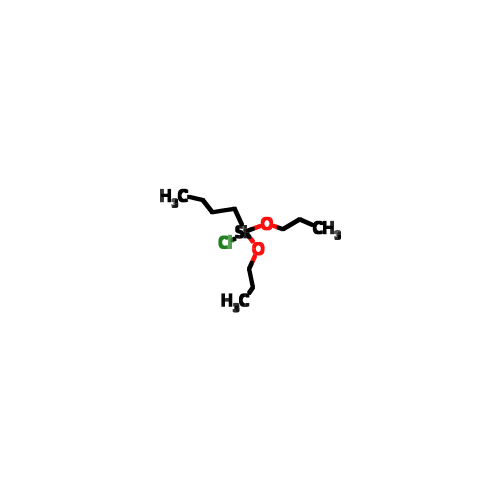 CCCC[Si](Cl)(OCCC)OCCC